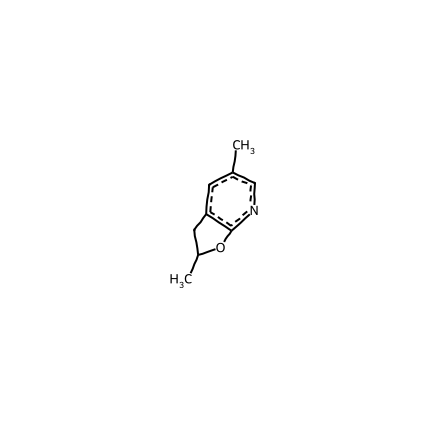 Cc1cnc2c(c1)CC(C)O2